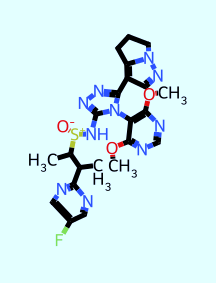 COc1ncnc(OC)c1-n1c(N[S+]([O-])C(C)C(C)c2ncc(F)cn2)nnc1-c1cnn2c1CCC2